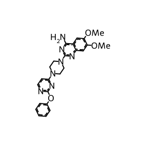 COc1cc2nc(N3CCN(c4ccnc(Oc5ccccc5)n4)CC3)nc(N)c2cc1OC